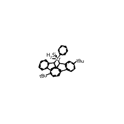 CC1=Cc2ccccc2[CH]1[Zr]([CH3])(=[SiH2])([c]1ccccc1)[CH]1c2cc(C(C)(C)C)ccc2-c2ccc(C(C)(C)C)cc21